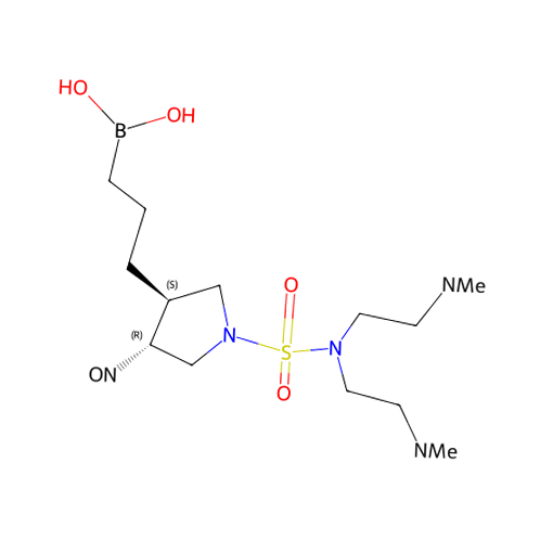 CNCCN(CCNC)S(=O)(=O)N1C[C@H](CCCB(O)O)[C@@H](N=O)C1